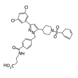 O=C(O)CCNC(=O)c1ccc(Cn2nc(-c3cc(Cl)cc(Cl)c3)cc2C2CCN(S(=O)(=O)C3C=CC=CC3)CC2)cc1